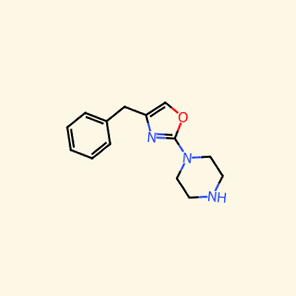 c1ccc(Cc2coc(N3CCNCC3)n2)cc1